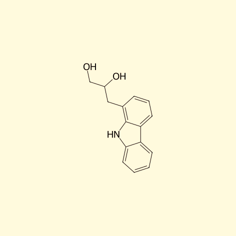 OCC(O)Cc1cccc2c1[nH]c1ccccc12